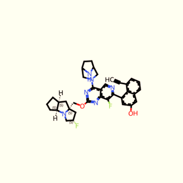 C#Cc1cccc2cc(O)cc(-c3ncc4c(N5CC6CCC(C5)N6)nc(OC[C@]56C[C@H](F)CN5[C@H]5CCC[C@H]5C6)nc4c3F)c12